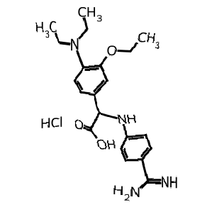 CCOc1cc(C(Nc2ccc(C(=N)N)cc2)C(=O)O)ccc1N(CC)CC.Cl